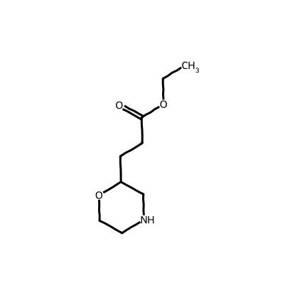 CCOC(=O)CCC1CNCCO1